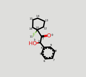 O=C(C(O)c1ccccc1)C1(F)CCCCC1